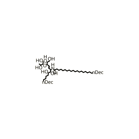 CCCCCCCCCCCCCCCCCCCCCCCCCCCCC(=O)N[C@@H](/C=C/[C@@H](OC(CO)C(C)O)C(O)CO)[C@H](O)[C@H](O)CCCCCCCCCCCCCC